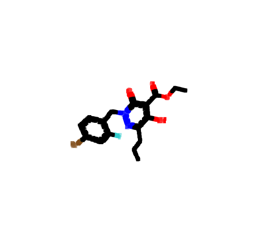 CCCc1nn(Cc2ccc(Br)cc2F)c(=O)c(C(=O)OCC)c1O